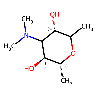 CC1O[C@H](C)[C@@H](O)C(N(C)C)[C@@H]1O